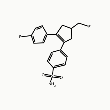 NS(=O)(=O)c1ccc(C2=C(c3ccc(F)cc3)CC(CF)C2)cc1